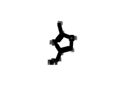 [CH2]c1nc(CCC)co1